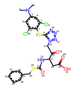 CN(C)c1cc(Cl)c(Sc2nnnn2CC(=O)C(CC(=O)O)NC(=O)SCc2ccccc2)c(Cl)c1